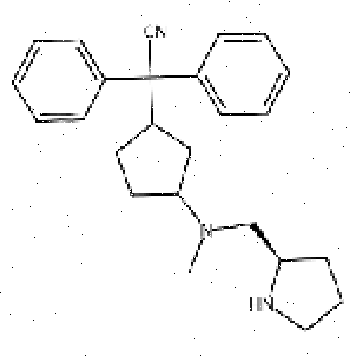 CN(C[C@H]1CCCN1)C1CCC(C(C#N)(c2ccccc2)c2ccccc2)C1